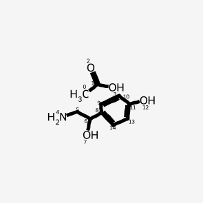 CC(=O)O.NCC(O)c1ccc(O)cc1